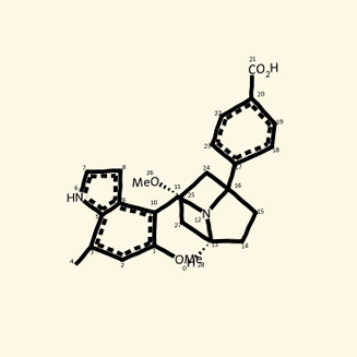 COc1cc(C)c2[nH]ccc2c1CN1[C@H]2CCC1(c1ccc(C(=O)O)cc1)C[C@@H](OC)C2